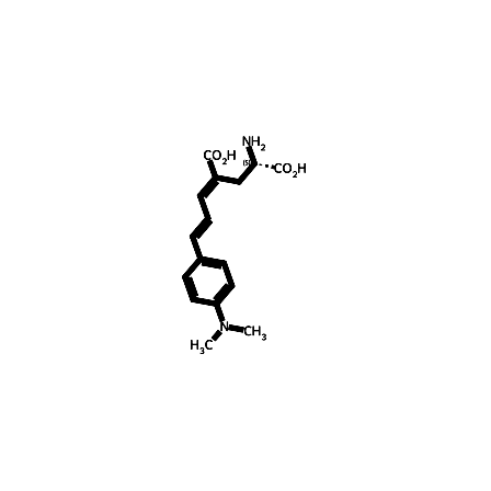 CN(C)c1ccc(C=CC=C(C[C@H](N)C(=O)O)C(=O)O)cc1